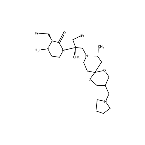 CC(C)C[C@H]1C(=O)N([C@](C=O)(CC(C)C)CN2CCC3(C[C@H]2C)OCC(CN2CCCC2)CO3)CCN1C